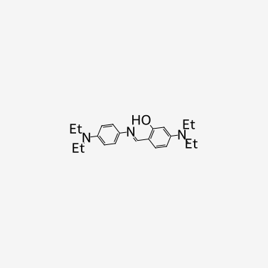 CCN(CC)c1ccc(/N=C/c2ccc(N(CC)CC)cc2O)cc1